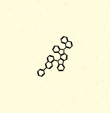 c1ccc(-c2ccc3c(-n4c5ccccc5c5ccc6c(c7ccccc7n6-c6cccc7ccccc67)c54)cccc3c2)cc1